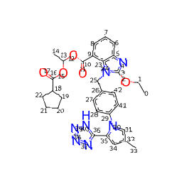 CCOc1nc2cccc(C(=O)OC(C)OC(=O)C3CCCC3)c2n1Cc1ccc(-n2cc(C)cc2-c2nnn[nH]2)cc1